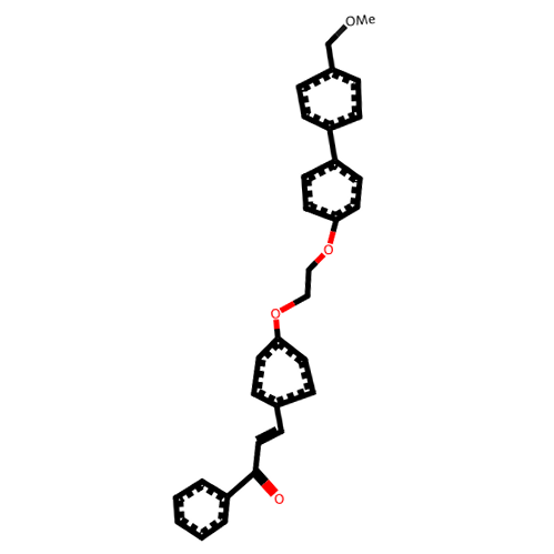 COCc1ccc(-c2ccc(OCCOc3ccc(/C=C/C(=O)c4ccccc4)cc3)cc2)cc1